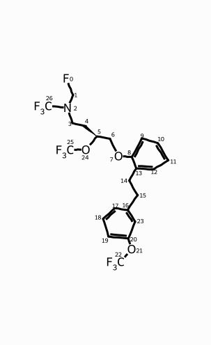 FCN(CC[C@@H](COc1ccccc1CCc1cccc(OC(F)(F)F)c1)OC(F)(F)F)C(F)(F)F